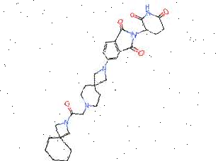 O=C1CCC(N2C(=O)c3ccc(N4CC5(CCN(CC(=O)N6CC7(CCCCC7)C6)CC5)C4)cc3C2=O)C(=O)N1